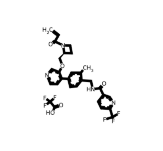 C=CC(=O)N1CC[C@H]1COc1cnccc1-c1ccc(CNC(=O)c2ccc(C(F)(F)F)nc2)c(C)c1.O=C(O)C(F)(F)F